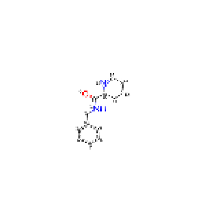 O=C(NCc1ccccc1)C1CC=CC=N1